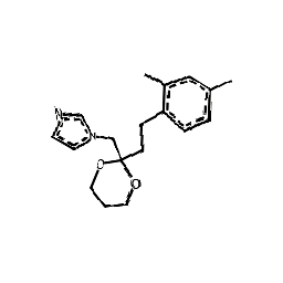 Cc1ccc(CCC2(Cn3ccnc3)OCCCO2)c(C)c1